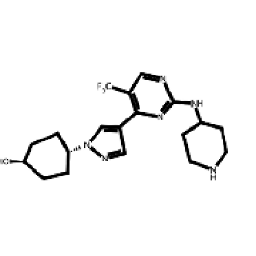 O[C@H]1CC[C@H](n2cc(-c3nc(NC4CCNCC4)ncc3C(F)(F)F)cn2)CC1